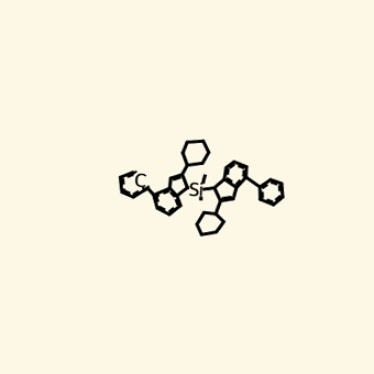 C[Si](C)(C1C(C2CCCCC2)=Cc2c(-c3ccccc3)cccc21)C1C(C2CCCCC2)=Cc2c(-c3ccccc3)cccc21